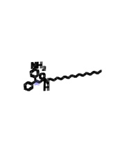 CCCCCCCCCCCCCCCNC(=O)/C=C(/c1ccccc1)c1ccc(N)cc1